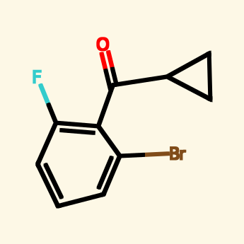 O=C(c1c(F)cccc1Br)C1CC1